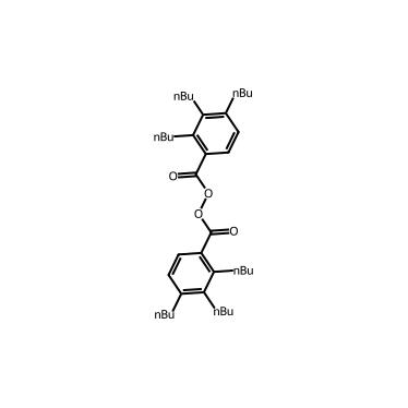 CCCCc1ccc(C(=O)OOC(=O)c2ccc(CCCC)c(CCCC)c2CCCC)c(CCCC)c1CCCC